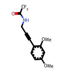 COc1ccc(C#CCNC(=O)C(F)(F)F)c(OC)c1